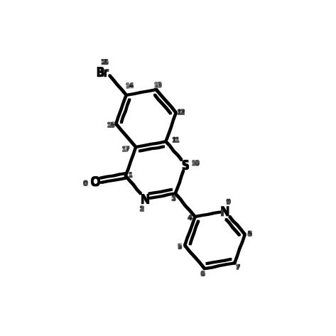 O=c1nc(-c2ccccn2)sc2ccc(Br)cc12